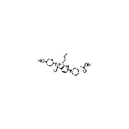 CCCSc1nc(N2CCC[C@@H](CC(=O)O)C2)ccc1C(=O)NC1CCC(O)CC1